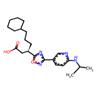 CC(C)Nc1ccc(-c2noc([C@H](CCCC3CCCCC3)CC(=O)O)n2)cn1